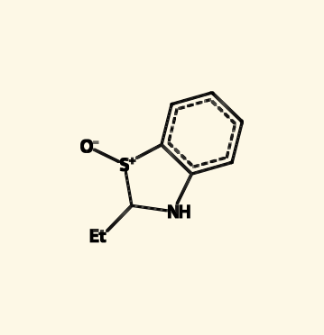 CCC1Nc2ccccc2[S+]1[O-]